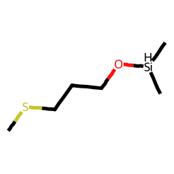 CSCCCO[SiH](C)C